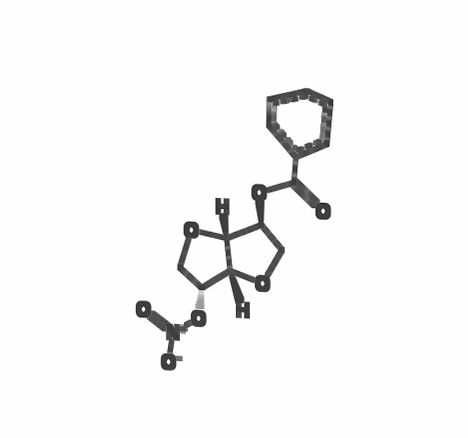 O=C(O[C@H]1CO[C@H]2[C@@H]1OC[C@H]2O[N+](=O)[O-])c1ccccc1